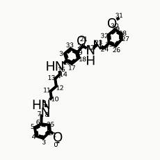 COc1cccc(C=NNCCCC[CH]Nc2ccc(C(=O)NN=Cc3cccc(OC)c3)cc2)c1